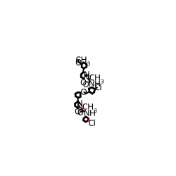 COc1cccc(-c2ccc(=O)n(C(C)C(=O)Nc3cc(COc4cccc(-c5ccc(=O)n(C(C)C(=O)Nc6cccc(Cl)c6)n5)c4)ccc3Cl)n2)c1